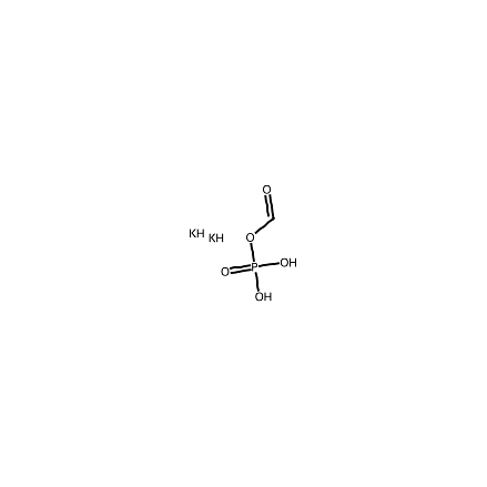 O=COP(=O)(O)O.[KH].[KH]